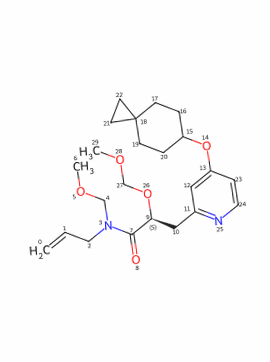 C=CCN(COC)C(=O)[C@H](Cc1cc(OC2CCC3(CC2)CC3)ccn1)OCOC